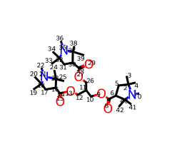 CN1C(C)(C)CC(C(=O)OCC(COC(=O)C2CC(C)(C)N(C)C2(C)C)COC(=O)C2CC(C)(C)N(C)C2(C)C)C1(C)C